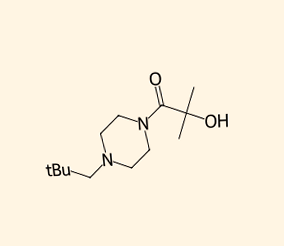 CC(C)(C)CN1CCN(C(=O)C(C)(C)O)CC1